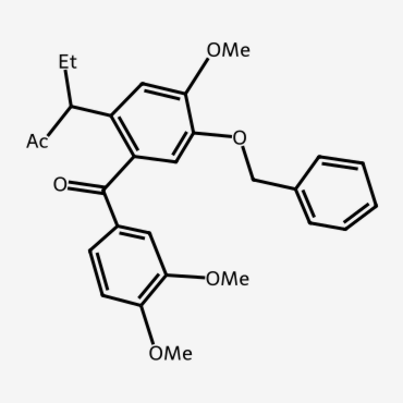 CCC(C(C)=O)c1cc(OC)c(OCc2ccccc2)cc1C(=O)c1ccc(OC)c(OC)c1